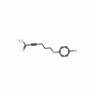 O=C(C#CCCCOc1ccc(Cl)cc1)C(F)(F)F